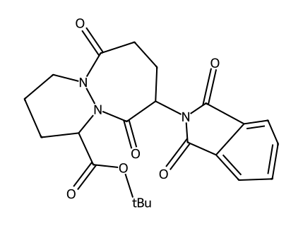 CC(C)(C)OC(=O)C1CCCN2C(=O)CCC(N3C(=O)c4ccccc4C3=O)C(=O)N12